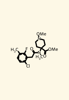 COC(=O)C1(N(C)C(=O)Cc2c(Cl)ccc(C)c2F)CCN(OC)CC1